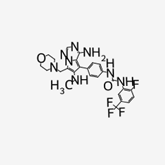 CNc1c(-c2ccc(NC(=O)Nc3cc(C(F)(F)F)ccc3F)cc2)c2c(N)ncnn2c1CN1CCOCC1